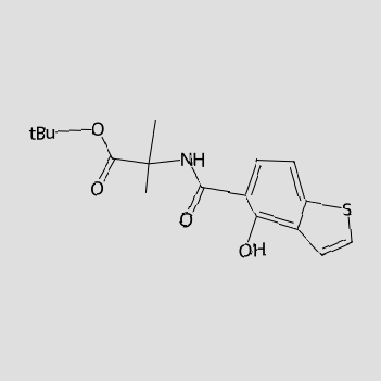 CC(C)(C)OC(=O)C(C)(C)NC(=O)c1ccc2sccc2c1O